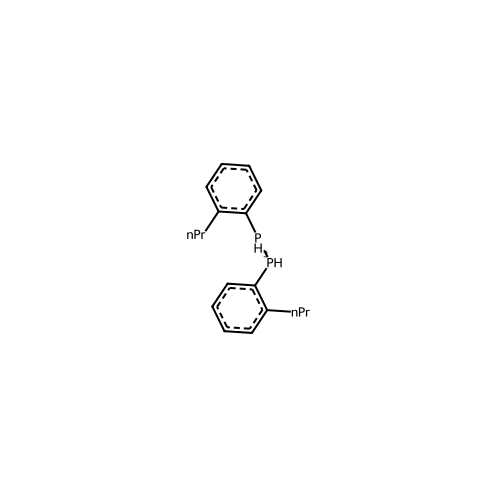 CCCc1ccccc1P[PH3]c1ccccc1CCC